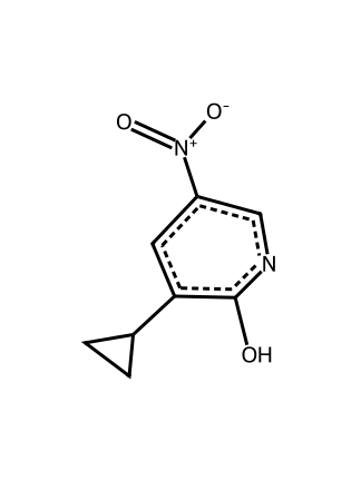 O=[N+]([O-])c1cnc(O)c(C2CC2)c1